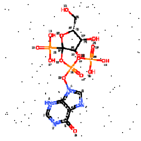 O=c1nc[nH]c2c1ncn2OP(=O)(OC1(P(=O)(O)O)O[C@H](CO)[C@@H](O)[C@H]1O)OP(=O)(O)O